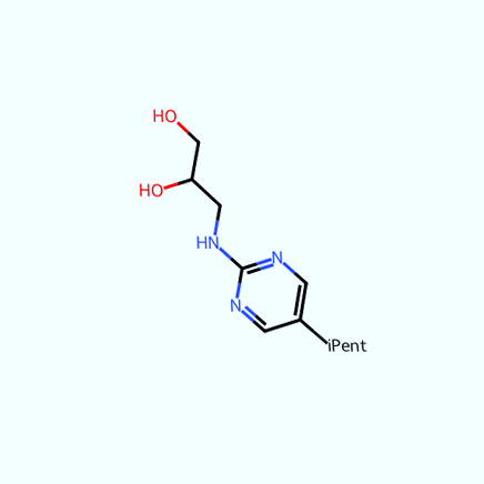 CCCC(C)c1cnc(NCC(O)CO)nc1